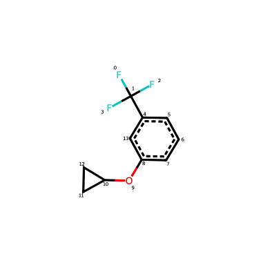 FC(F)(F)c1cccc(OC2CC2)c1